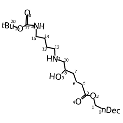 CCCCCCCCCCCOC(=O)CCCC(O)CNCCCCNC(=O)OC(C)(C)C